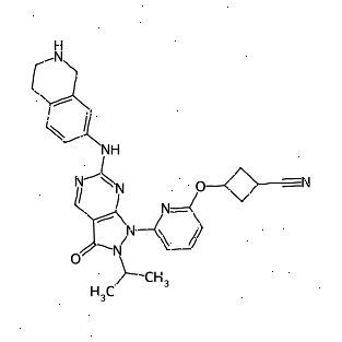 CC(C)n1c(=O)c2cnc(Nc3ccc4c(c3)CNCC4)nc2n1-c1cccc(OC2CC(C#N)C2)n1